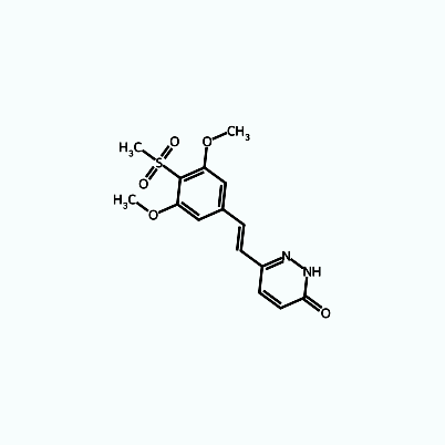 COc1cc(C=Cc2ccc(=O)[nH]n2)cc(OC)c1S(C)(=O)=O